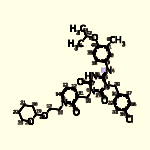 Cc1cc(/N=c2\[nH]c(=O)n(Cc3cccn(CCOC4CCCCO4)c3=O)c(=O)n2Cc2ccc(Cl)cc2)ccc1OC(C)C